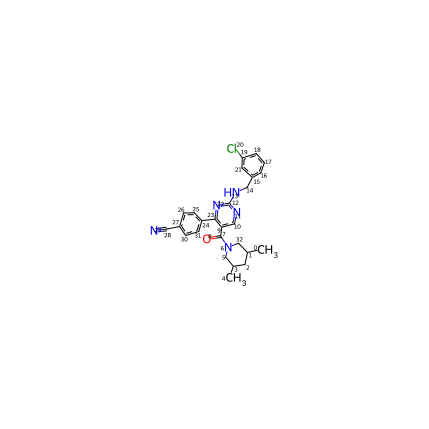 CC1CC(C)CN(C(=O)c2cnc(NCc3cccc(Cl)c3)nc2-c2ccc(C#N)cc2)C1